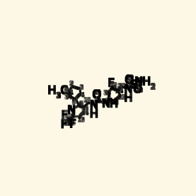 Cc1cccc(-c2nc(C(F)(F)F)ccc2CNC(=O)Nc2ccc(CNS(N)(=O)=O)c(F)c2)c1